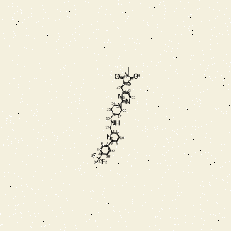 CC(F)(F)c1ccc(-c2cccc(CNCC3CCN(c4nccc(/C=C5\SC(=O)NC5=O)n4)CC3)n2)cc1